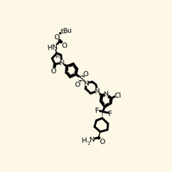 CC(C)(C)OC(=O)N[C@@H]1CC(=O)N(c2ccc(S(=O)(=O)N3CCN(c4cc(C(F)(F)[C@H]5CC[C@H](C(N)=O)CC5)cc(Cl)n4)CC3)cc2)C1